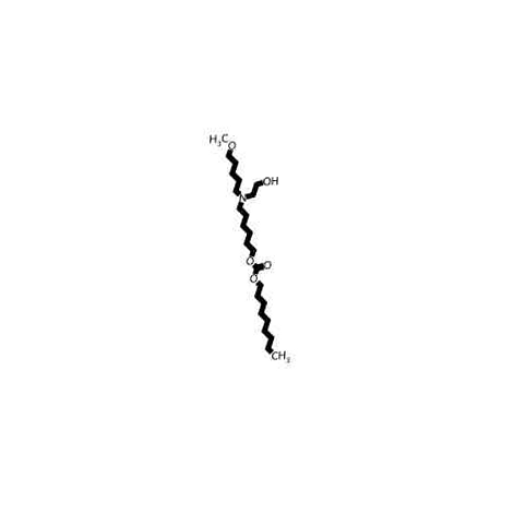 CCCCCCCCCOC(=O)OCCCCCCN(CCO)CCCCCOC